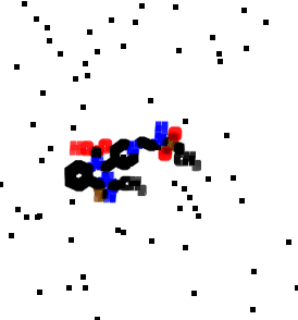 CCS(=O)(=O)NCCN1CCC(CN(C(=O)O)c2ccccc2-c2nc(C)ns2)CC1